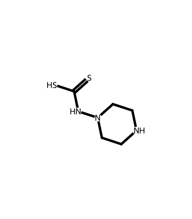 S=C(S)NN1CCNCC1